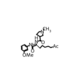 COc1cccc(NC(=O)[C@H](CCCCCC(C)=O)NC(=O)C2CCN(C)C2)c1